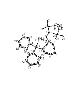 CCC(C)(C)P(Cc1ccccc1C(P)(c1cnccn1)c1cnccn1)C(C)(C)CC